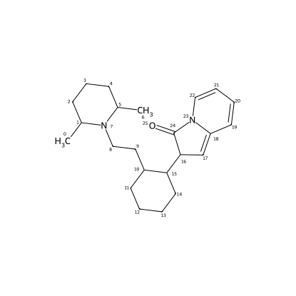 CC1CCCC(C)N1CCC1CCCCC1C1C=C2C=CC=CN2C1=O